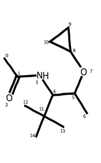 CC(=O)NC(C(C)OC1CC1)C(C)(C)C